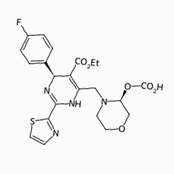 CCOC(=O)C1=C(CN2CCOC[C@@H]2OC(=O)O)NC(c2nccs2)=N[C@H]1c1ccc(F)cc1